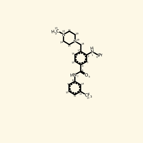 CC(C)Nc1cc(C(=O)Nc2cccc(C(F)(F)F)c2)ccc1CN1CCN(C)CC1